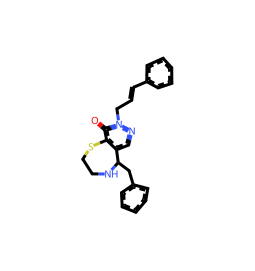 O=c1c2c(cnn1CC=Cc1ccccc1)C(Cc1ccccc1)NCCS2